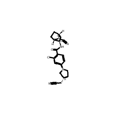 N#CC[C@H]1CCN(c2ccc(C(=O)N[C@@H]3C[C@H]4CC[C@@H]3N4C#N)c(Cl)c2)C1